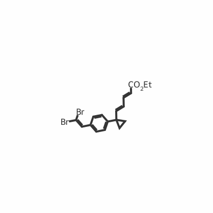 CCOC(=O)C=CC=CC1(c2ccc(C=C(Br)Br)cc2)CC1